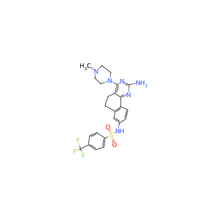 CN1CCN(c2nc(N)nc3c2CCc2cc(NS(=O)(=O)c4ccc(C(F)(F)F)cc4)ccc2-3)CC1